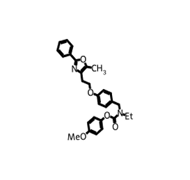 CCN(Cc1ccc(OCCc2nc(-c3ccccc3)oc2C)cc1)C(=O)Oc1ccc(OC)cc1